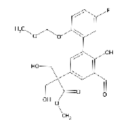 COCOc1ccc(F)cc1-c1cc(C(CO)(CO)C(=O)OC)cc(C=O)c1O